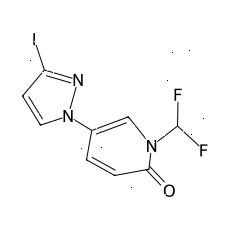 O=c1ccc(-n2ccc(I)n2)cn1C(F)F